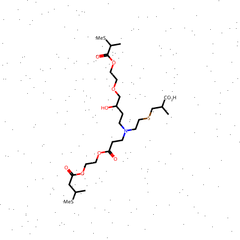 CSC(C)CC(=O)OCCOC(=O)CCN(CCSCC(C)C(=O)O)CCC(O)COCCOC(=O)C(C)SC